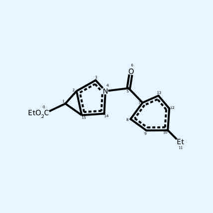 CCOC(=O)C1c2cn(C(=O)c3ccc(CC)cc3)cc21